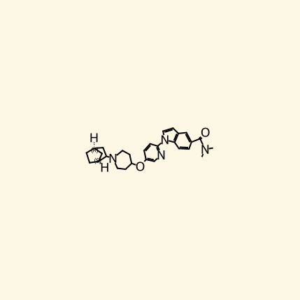 CN(C)C(=O)c1ccc2c(ccn2-c2ccc(OC3CCN(C4C[C@@H]5CC[C@H]4C5)CC3)cn2)c1